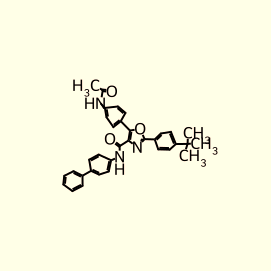 CC(=O)Nc1ccc(-c2oc(-c3ccc(C(C)(C)C)cc3)nc2C(=O)Nc2ccc(-c3ccccc3)cc2)cc1